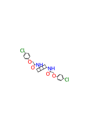 O=C(COc1ccc(Cl)cc1)NC12C3C4C1C1C2C3C41NC(=O)COc1ccc(Cl)cc1